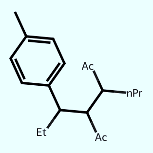 CCCC(C(C)=O)C(C(C)=O)C(CC)c1ccc(C)cc1